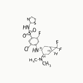 CN(C)[C@@H]1C[C@H]2C(C[C@H]1Nc1cc(F)c(S(=O)(=O)Nc3nccs3)cc1Cl)C2(F)F